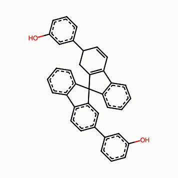 Oc1cccc(-c2ccc3c(c2)C2(C4=C(C=CC(c5cccc(O)c5)C4)c4ccccc42)c2ccccc2-3)c1